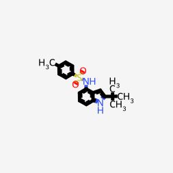 Cc1ccc(S(=O)(=O)Nc2cccc3[nH]c(C(C)(C)C)cc23)cc1